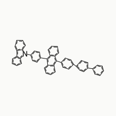 c1ccc(-c2ccc(-c3ccc(-c4c5ccccc5c(-c5ccc(-n6c7ccccc7c7ccccc76)cc5)c5ccccc45)cc3)cc2)cc1